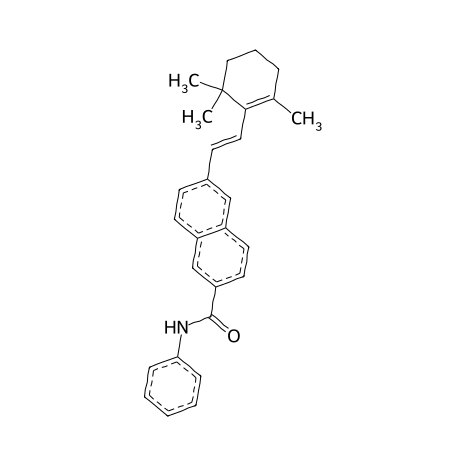 CC1=C(C=Cc2ccc3cc(C(=O)Nc4ccccc4)ccc3c2)C(C)(C)CCC1